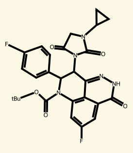 CC(C)(C)OC(=O)N1c2cc(F)cc3c(=O)[nH]nc(c23)C(N2C(=O)CN(C3CC3)C2=O)C1c1ccc(F)cc1